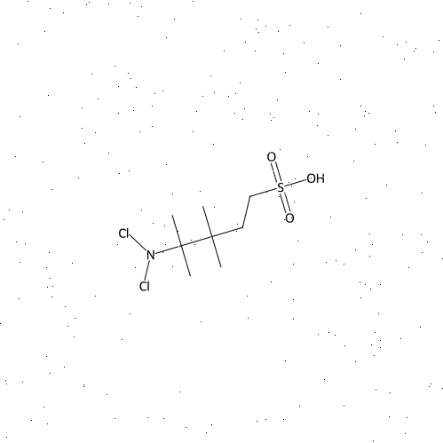 CC(C)(CCS(=O)(=O)O)C(C)(C)N(Cl)Cl